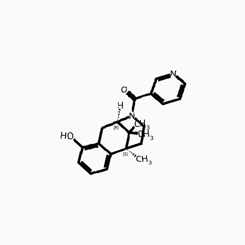 CC1(C)[C@H]2Cc3c(O)cccc3[C@]1(C)CCN2C(=O)c1cccnc1